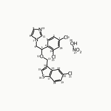 Clc1ccc(C(Cn2ccnc2)OCc2csc3ccc(Cl)cc23)c(Cl)c1.O=[N+]([O-])O